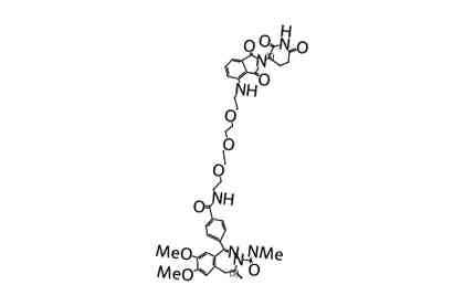 CNC(=O)N1N=C(c2ccc(C(=O)NCCOCCOCCOCCNc3cccc4c3C(=O)N([C@H]3CCC(=O)NC3=O)C4=O)cc2)c2cc(OC)c(OC)cc2C[C@@H]1C